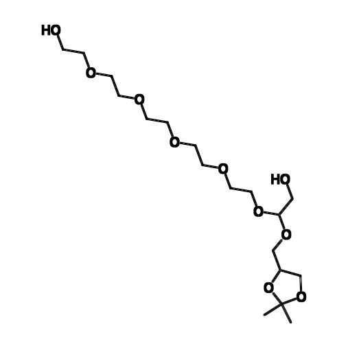 CC1(C)OCC(COC(CO)OCCOCCOCCOCCOCCO)O1